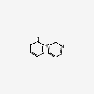 C1=CCNC=C1.C1=CNCN=C1